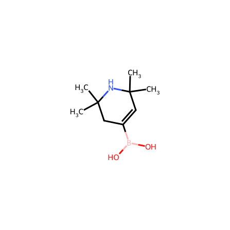 CC1(C)C=C(B(O)O)CC(C)(C)N1